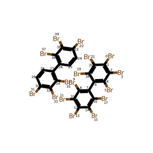 Brc1c(Br)c(Br)c(-c2c(Br)c(Br)c(Br)c(Br)c2Br)c(Br)c1Br.Brc1ccc(-c2ccc(Br)c(Br)c2Br)c(Br)c1Br